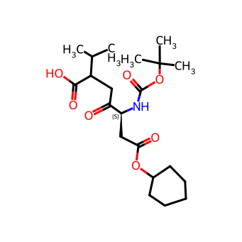 CC(C)C(CC(=O)[C@H](CC(=O)OC1CCCCC1)NC(=O)OC(C)(C)C)C(=O)O